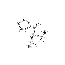 O=C(c1ccccc1)c1cc(Cl)ccc1Br